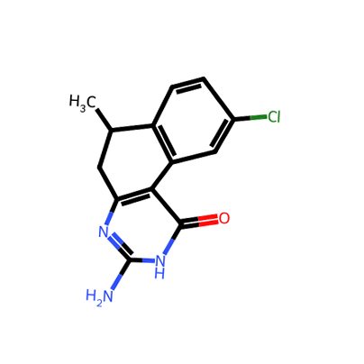 CC1Cc2nc(N)[nH]c(=O)c2-c2cc(Cl)ccc21